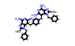 CCCCc1nc2c(N)nc(N)c(Cc3ccc(Cc4c(N)nc(N)c5nc(CCCC)n(Cc6ccccc6)c45)cc3)c2n1Cc1ccccc1